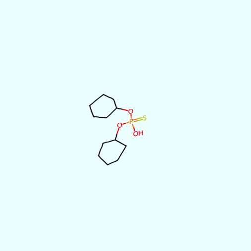 OP(=S)(OC1CCCCC1)OC1CCCCC1